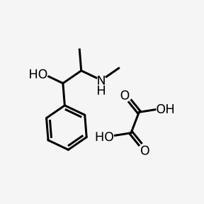 CNC(C)C(O)c1ccccc1.O=C(O)C(=O)O